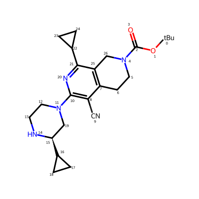 CC(C)(C)OC(=O)N1CCc2c(C#N)c(N3CCN[C@H](C4CC4)C3)nc(C3CC3)c2C1